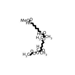 C=CC(=O)OCOC(C)(C)C(=O)CCCCCOC(C)(C)C(=O)NCCCCCCCNC(=O)OC